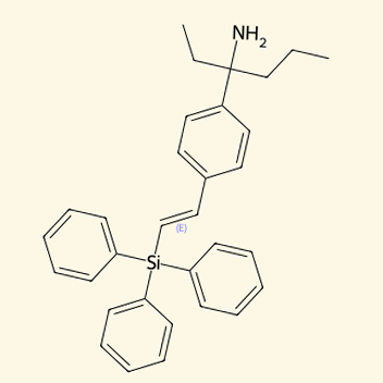 CCCC(N)(CC)c1ccc(/C=C/[Si](c2ccccc2)(c2ccccc2)c2ccccc2)cc1